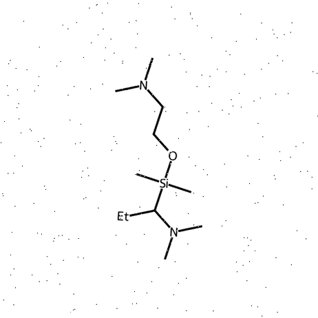 CCC(N(C)C)[Si](C)(C)OCCN(C)C